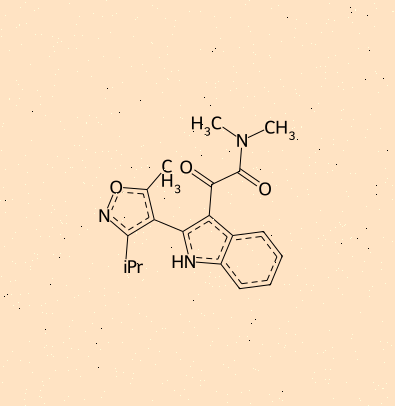 Cc1onc(C(C)C)c1-c1[nH]c2ccccc2c1C(=O)C(=O)N(C)C